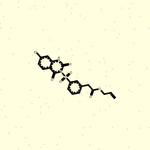 C=CCOC(=O)Cc1cccc(S(=O)(=O)n2c(=O)[nH]c3cc(Cl)ccc3c2=O)c1